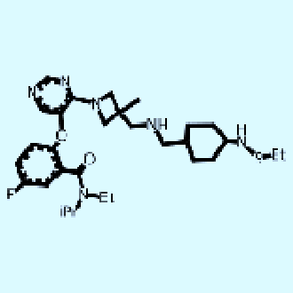 CCSNC1CCC(CNCC2(C)CN(c3ncncc3Oc3ccc(F)cc3C(=O)N(CC)C(C)C)C2)CC1